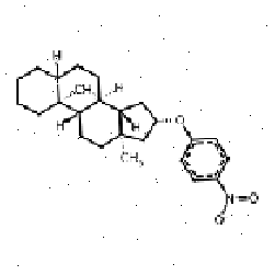 C[C@]12CC[C@H]3[C@@H](CC[C@H]4CCCC[C@@]43C)[C@@H]1C[C@H](Oc1ccc([N+](=O)[O-])cc1)C2